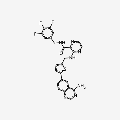 Nc1ncnc2ccc(-c3ccc(CNc4nccnc4C(=O)NCc4cc(F)c(F)c(F)c4)s3)cc12